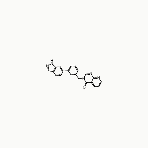 O=c1c2cccnc2ncn1Cc1cccc(-c2ccc3cn[nH]c3c2)c1